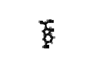 CC(C)(C)C(=O)c1cc2cc(O)ccc2[nH]1